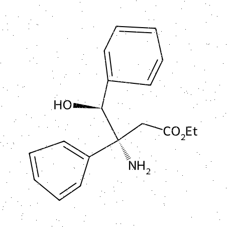 CCOC(=O)C[C@@](N)(c1ccccc1)[C@@H](O)c1ccccc1